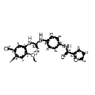 COc1cc(C)c(Cl)cc1NC(=S)Nc1ccc(NC(=O)c2ccco2)cc1